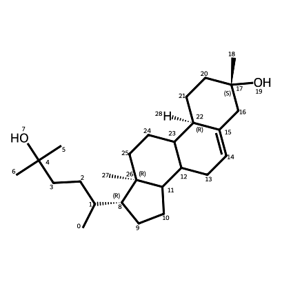 CC(CCC(C)(C)O)[C@H]1CCC2C3CC=C4C[C@@](C)(O)CC[C@@H]4C3CC[C@@]21C